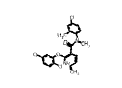 C=C/C=C\C(C(=O)N(C)c1ccc(Cl)cc1C)=C(/N)Oc1cc(Cl)ccc1Cl